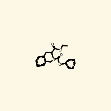 CCOC(=O)C1Cc2ccccc2CN1C(=O)Oc1ccccc1